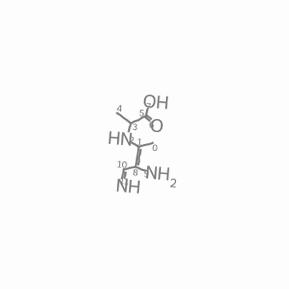 C/C(NC(C)C(=O)O)=C(\N)C=N